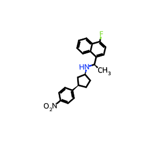 C[C@@H](N[C@H]1CC[C@@H](c2ccc([N+](=O)[O-])cc2)C1)c1ccc(F)c2ccccc12